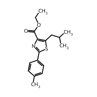 CCOC(=O)c1nc(-c2ccc(C)cc2)sc1CC(C)C